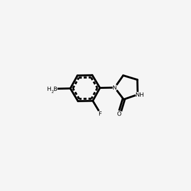 Bc1ccc(N2CCNC2=O)c(F)c1